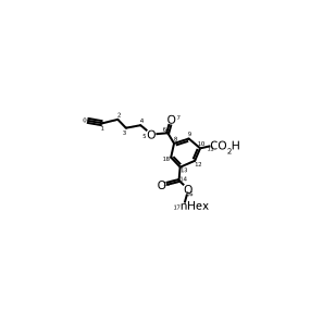 C#CCCCOC(=O)c1cc(C(=O)O)cc(C(=O)OCCCCCC)c1